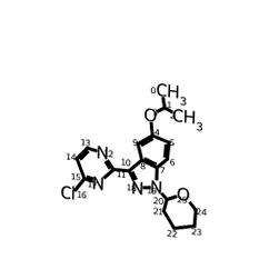 CC(C)Oc1ccc2c(c1)c(-c1nccc(Cl)n1)nn2C1CCCCO1